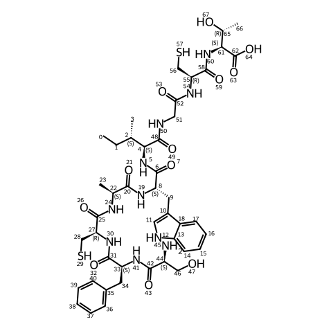 CC[C@H](C)[C@H](NC(=O)[C@H](Cc1c[nH]c2ccccc12)NC(=O)[C@H](C)NC(=O)[C@H](CS)NC(=O)[C@H](Cc1ccccc1)NC(=O)[C@@H](N)CO)C(=O)NCC(=O)N[C@@H](CS)C(=O)N[C@H](C(=O)O)[C@@H](C)O